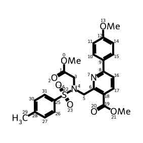 COC(=O)CN(Cc1nc(-c2ccc(OC)cc2)ccc1C(=O)OC)S(=O)(=O)c1ccc(C)cc1